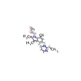 C=Cc1nccc(Cc2c(F)cc(C#N)c3c2c(C)c(C)n3COCCC)n1